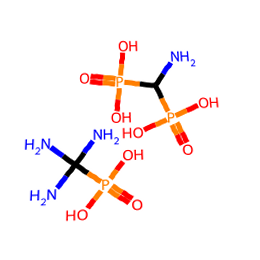 NC(N)(N)P(=O)(O)O.NC(P(=O)(O)O)P(=O)(O)O